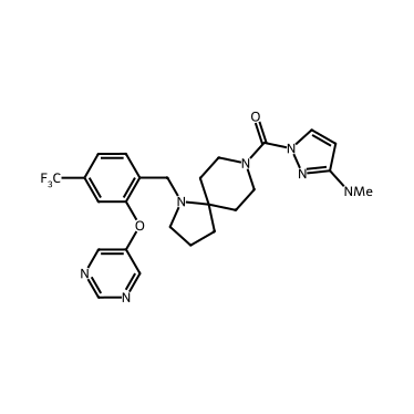 CNc1ccn(C(=O)N2CCC3(CCCN3Cc3ccc(C(F)(F)F)cc3Oc3cncnc3)CC2)n1